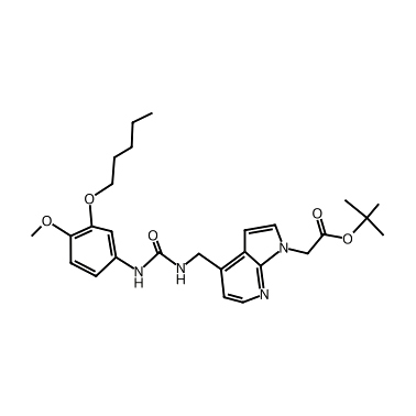 CCCCCOc1cc(NC(=O)NCc2ccnc3c2ccn3CC(=O)OC(C)(C)C)ccc1OC